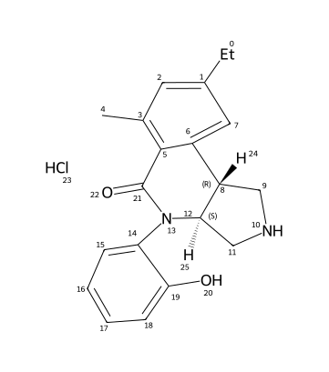 CCc1cc(C)c2c(c1)[C@@H]1CNC[C@H]1N(c1ccccc1O)C2=O.Cl